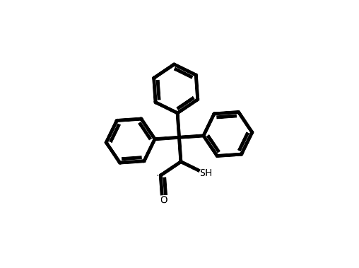 O=[C]C(S)C(c1ccccc1)(c1ccccc1)c1ccccc1